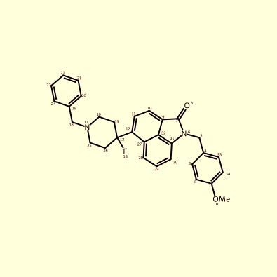 COc1ccc(CN2C(=O)c3ccc(C4(F)CCN(Cc5ccccc5)CC4)c4cccc2c34)cc1